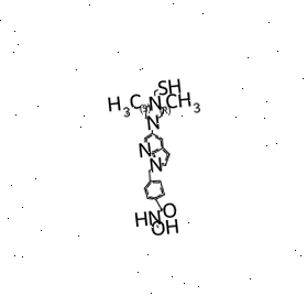 C[C@@H]1CN(c2cnc3c(ccn3Cc3ccc(C(=O)NO)cc3)c2)C[C@H](C)N1CS